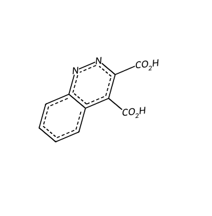 O=C(O)c1nnc2ccccc2c1C(=O)O